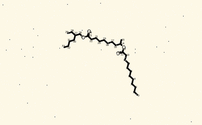 CCCCCCCCCCCC(=O)OC(C)CCCCCCCC(=O)OCC(CC)CCCC